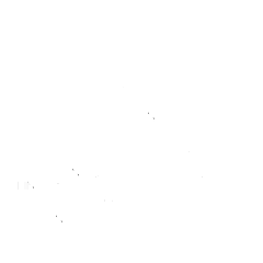 CCOc1cccc2c(C(=O)NC(=N)N)cc(-c3ccccc3)nc12